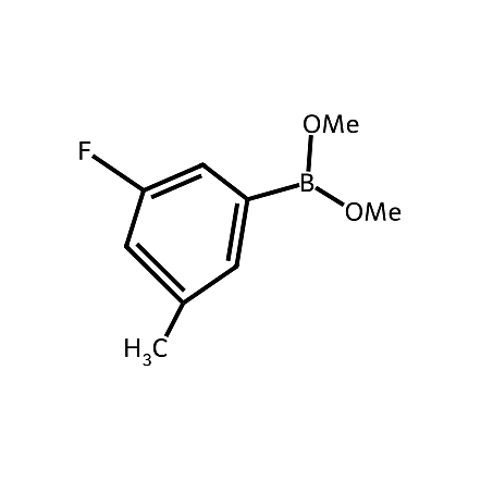 COB(OC)c1cc(C)cc(F)c1